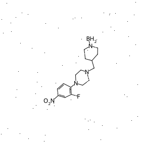 BN1CCC(CN2CCN(c3ccc([N+](=O)[O-])cc3F)CC2)CC1